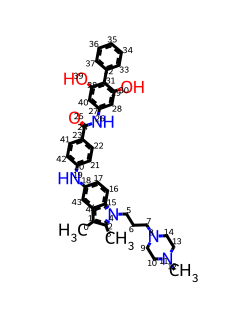 Cc1c(C)n(CCCN2CCN(C)CC2)c2ccc(Nc3ccc(C(=O)Nc4cc(O)c(-c5ccccc5)c(O)c4)cc3)cc12